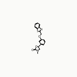 CN1CC(c2cccc(OCc3nc4ccccc4s3)c2)OC1=O